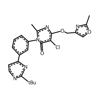 Cc1nc(COc2nc(C)n(-c3cccc(-c4ccnc(C(C)(C)C)n4)c3)c(=O)c2Cl)co1